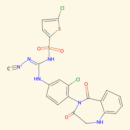 [C-]#[N+]/N=C(\Nc1ccc(N2C(=O)CNc3ccccc3C2=O)c(Cl)c1)NS(=O)(=O)c1ccc(Cl)s1